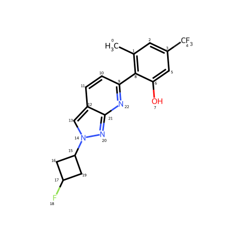 Cc1cc(C(F)(F)F)cc(O)c1-c1ccc2cn(C3CC(F)C3)nc2n1